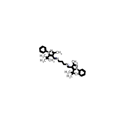 Cc1nn(-c2ccccc2)c(C(C)(C)C)c1/C=N/CCC/N=C/c1c(C)nn(-c2ccccc2)c1C(C)(C)C